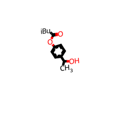 CCC(C)C(=O)Oc1ccc(C(C)O)cc1